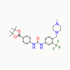 CN1CCN(Cc2ccc(NC(=O)Nc3ccc(B4OC(C)(C)C(C)(C)O4)cc3)cc2C(F)(F)F)CC1